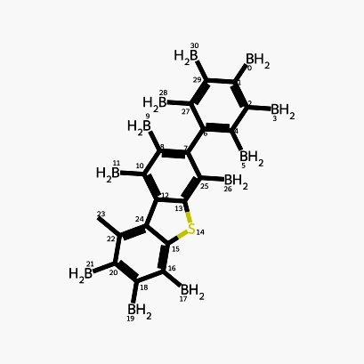 Bc1c(B)c(B)c(-c2c(B)c(B)c3c(sc4c(B)c(B)c(B)c(C)c43)c2B)c(B)c1B